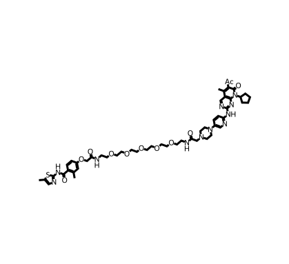 CC(=O)c1c(C)c2cnc(Nc3ccc(N4CCN(CC(=O)NCCOCCOCCOCCOCCOCCNC(=O)COc5ccc(C(=O)Nc6ncc(C)s6)c(C)c5)CC4)cn3)nc2n(C2CCCC2)c1=O